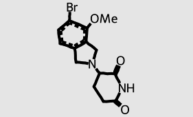 COc1c(Br)ccc2c1CN(C1CCC(=O)NC1=O)C2